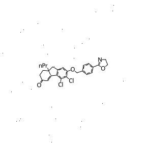 CCCC12CCC(=O)C=C1c1c(cc(OCc3ccc(C4=NCCO4)cc3)c(Cl)c1Cl)C2